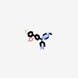 CCN1CCN([C@@H](c2ccncc2)c2ccc(-c3ccc(F)cc3OC)cc2)CC1